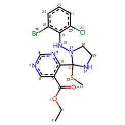 CCOC(=O)c1cncnc1C1(SC)NCCN1Nc1c(Cl)cccc1Br